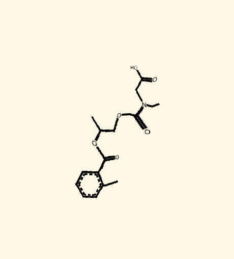 Cc1ccccc1C(=O)OC(C)COC(=O)N(C)CC(=O)O